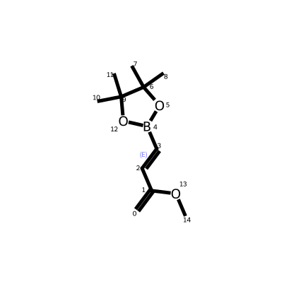 C=C(/C=C/B1OC(C)(C)C(C)(C)O1)OC